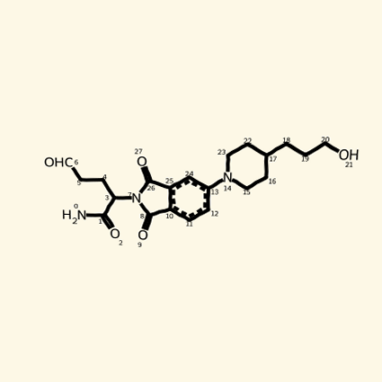 NC(=O)C(CCC=O)N1C(=O)c2ccc(N3CCC(CCCO)CC3)cc2C1=O